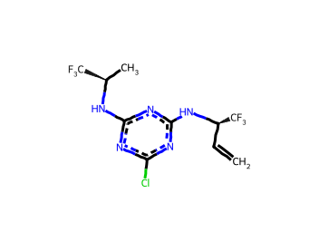 C=C[C@@H](Nc1nc(Cl)nc(N[C@H](C)C(F)(F)F)n1)C(F)(F)F